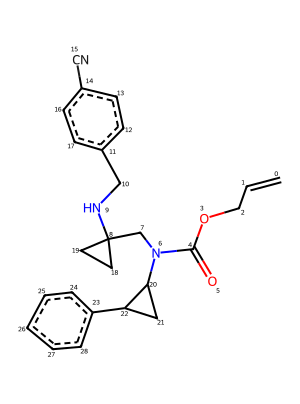 C=CCOC(=O)N(CC1(NCc2ccc(C#N)cc2)CC1)C1CC1c1ccccc1